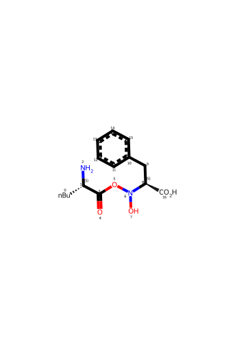 CCCC[C@H](N)C(=O)ON(O)[C@@H](Cc1ccccc1)C(=O)O